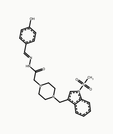 CS(=O)(=O)n1cc(CN2CCN(CC(=O)NN=Cc3ccc(O)cc3)CC2)c2ccccc21